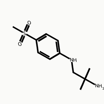 CC(C)(N)CNc1ccc(S(C)(=O)=O)cc1